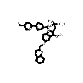 CC(C)(C)Sc1c(CC(C)(C)C(=O)O)n(Cc2ccc(-c3ccc(CF)cn3)cc2)c2ccc(OCc3ccc4ccccc4n3)cc12